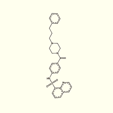 C=C(c1ccc(NS(=O)(=O)c2cccc3cccnc23)cc1)N1CCN(CCCc2ccccc2)CC1